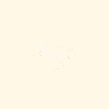 C[C@H]1N(C)c2ccccc2N1CCN1c2ccccc2N(c2ccccc2)[C@H]1C